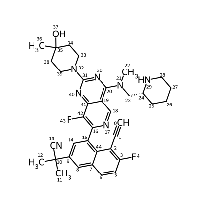 C#Cc1c(F)ccc2cc(C(C)(C)C#N)cc(-c3ncc4c(N(C)C[C@H]5CCCCN5)nc(N5CCC(C)(O)CC5)nc4c3F)c12